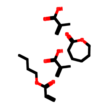 C=C(C)C(=O)O.C=C(C)C(=O)O.C=CC(=O)OCCCC.O=C1CCCCCO1